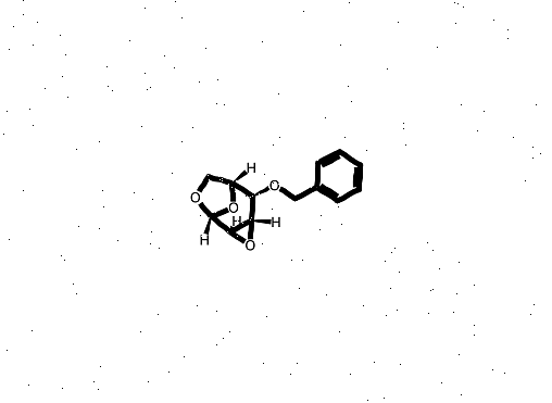 c1ccc(CO[C@H]2[C@@H]3O[C@@H]3[C@@H]3OC[C@H]2O3)cc1